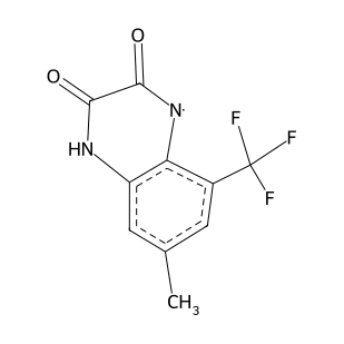 Cc1cc2c(c(C(F)(F)F)c1)[N]C(=O)C(=O)N2